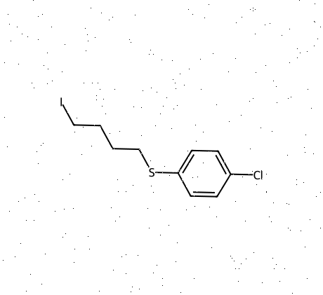 Clc1ccc(SCCCCI)cc1